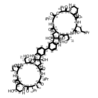 CC(C)CC[C@@H]1NC(=O)[C@H]2CCCNN2C(=O)[C@H](C(C)C)OC(=O)[C@@H](C(C)C)NC(=O)[C@@H]2C[C@@]3(O)c4cc(-c5ccc6c(c5)[C@]5(O)C[C@H]7C(=O)N[C@H](C(C)C)C(=O)N(C)[C@@H](C(C)C)C(=O)N8NC[C@H](O)C[C@@H]8C(=O)N[C@@H](CC(C)C)C(=O)N[C@H]([C@H](C)O)C(=O)N7[C@@H]5N6)ccc4N[C@H]3N2C(=O)[C@@H]([C@H](C)O)NC1=O